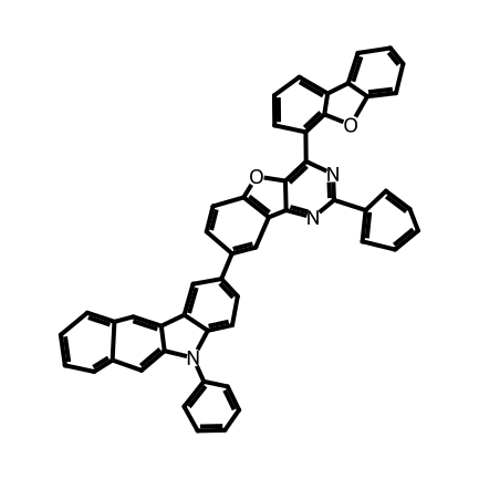 c1ccc(-c2nc(-c3cccc4c3oc3ccccc34)c3oc4ccc(-c5ccc6c(c5)c5cc7ccccc7cc5n6-c5ccccc5)cc4c3n2)cc1